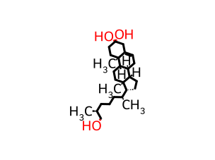 C[C@H](CO)CCC[C@@H](C)[C@H]1CC[C@H]2[C@@H]3CC=C4CC(O)(O)CC[C@]4(C)[C@H]3CC[C@]12C